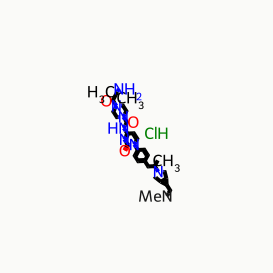 CNCC1C2CN(C(C)Cc3ccc(-n4ccc(NC(=O)N5CCN(C(=O)C(C)(C)N)CC5)nc4=O)cc3)CC12.Cl